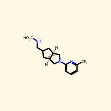 O=C(O)NCC1C[C@@H]2CN(c3cccc(C(F)(F)F)n3)C[C@@H]2C1